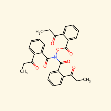 CCC(=O)c1ccccc1C(=O)ON(C(=O)c1ccccc1C(=O)CC)C(=O)c1ccccc1C(=O)CC